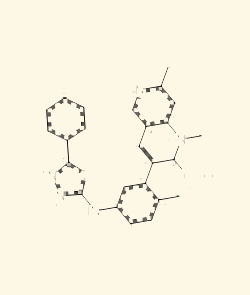 Cc1cc2c(cn1)C=C(c1cc(Nc3nnc(-c4ccccc4)s3)ccc1C)C(C=O)N2C